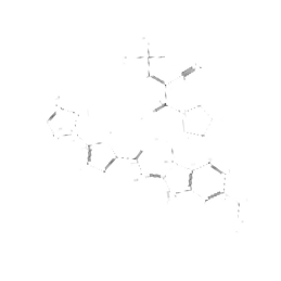 CC(C)(C)C=C(C#N)C(=O)N1CCC[C@@H]1Cn1c(=NC(=O)c2ccc(N3NC=NN3)s2)[nH]c2cc(CO)ccc21